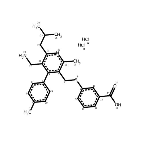 Cc1ccc(-c2c(CSc3cccc(C(=O)O)c3)c(C)nc(CC(C)C)c2CN)cc1.Cl.Cl